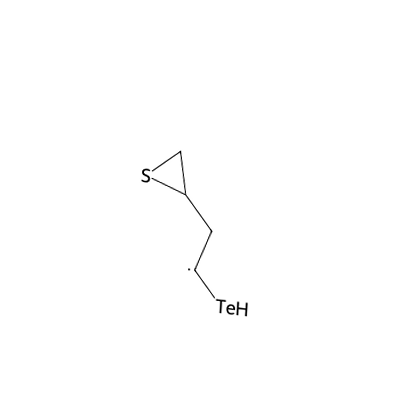 [TeH][CH]CC1CS1